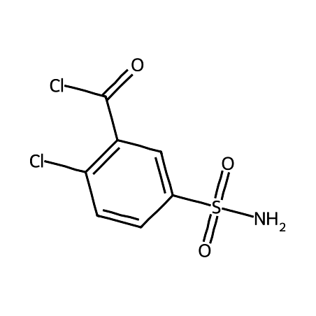 NS(=O)(=O)c1ccc(Cl)c(C(=O)Cl)c1